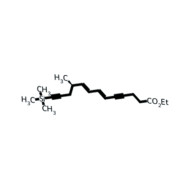 CCOC(=O)CCC#C/C=C/C=C/[C@H](C)CC#C[Si](C)(C)C